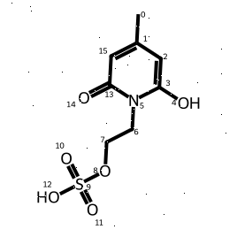 Cc1cc(O)n(CCOS(=O)(=O)O)c(=O)c1